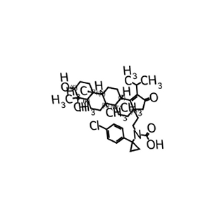 CC(C)C1=C2[C@H]3CC[C@@H]4[C@@]5(C)CC[C@H](O)C(C)(C)[C@@H]5CC[C@@]4(C)[C@]3(C)CC[C@@]2(CCN(C(=O)O)C2(c3ccc(Cl)cc3)CC2)CC1=O